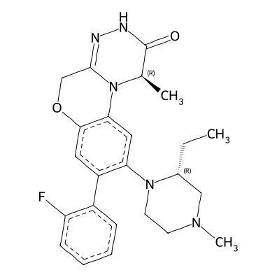 CC[C@@H]1CN(C)CCN1c1cc2c(cc1-c1ccccc1F)OCC1=NNC(=O)[C@@H](C)N12